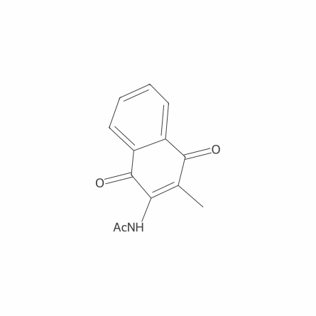 CC(=O)NC1=C(C)C(=O)c2ccccc2C1=O